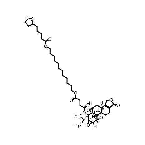 CC(C)[C@]12O[C@H]1[C@@H]1O[C@]13[C@]1(O[C@H]1C[C@H]1C4=C(CC[C@@]13C)C(=O)OC4)[C@@H]2OC(=O)CCC(=O)OCCCCCCCCCCCCOC(=O)CCCCC1CCSS1